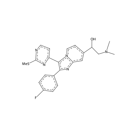 CSc1nccc(-c2c(-c3ccc(F)cc3)nc3cc(C(O)CN(C)C)ccn23)n1